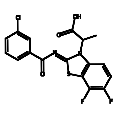 CC(C(=O)O)n1c(=NC(=O)c2cccc(Cl)c2)sc2c(F)c(F)ccc21